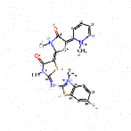 CCN1C(=O)/C(=c2/s/c(=C3/C=CC=CN3C)c(=O)n2CC)S/C1=N\c1sc2cc(F)ccc2[n+]1C